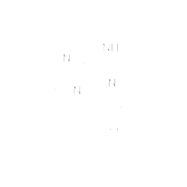 Nc1nc(-c2ccco2)cn2ccnc12